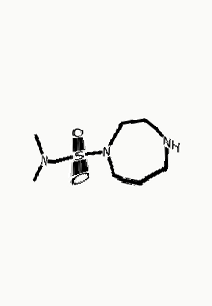 CN(C)S(=O)(=O)N1CCCNCC1